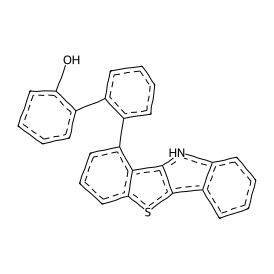 Oc1ccccc1-c1ccccc1-c1cccc2sc3c4ccccc4[nH]c3c12